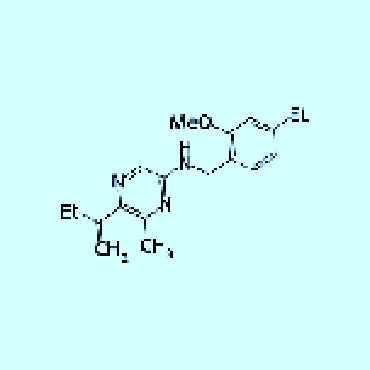 C=C(CC)c1ncc(NCc2ccc(CC)cc2OC)nc1C